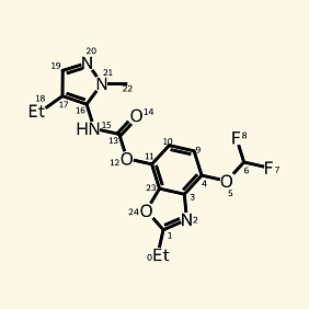 CCc1nc2c(OC(F)F)ccc(OC(=O)Nc3c(CC)cnn3C)c2o1